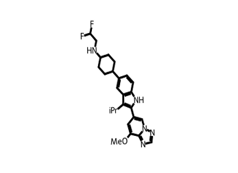 COc1cc(-c2[nH]c3ccc(C4CCC(NCC(F)F)CC4)cc3c2C(C)C)cn2ncnc12